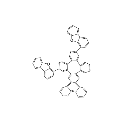 c1ccc2c(c1)-c1cc(-c3cccc4c3oc3ccccc34)ccc1-c1ccc(-c3cccc4c3oc3ccccc34)cc1-c1cc3c4ccccc4c4ccccc4c3cc1-2